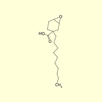 CCCCCCCCCCC1(C(=O)O)CCC2OC2C1